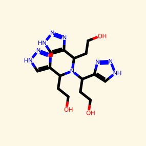 OCCC(c1c[nH]nn1)N(C(CCO)c1c[nH]nn1)C(CCO)c1c[nH]nn1